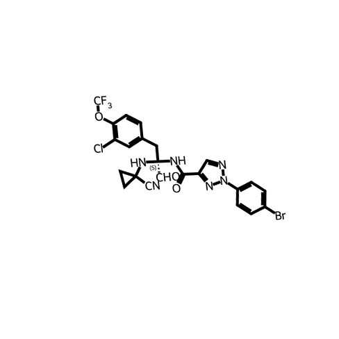 N#CC1(N[C@@](C=O)(Cc2ccc(OC(F)(F)F)c(Cl)c2)NC(=O)c2cnn(-c3ccc(Br)cc3)n2)CC1